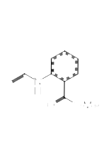 C=CNc1ccccc1C(=O)OC